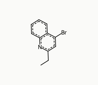 CCc1cc(Br)c2ccccc2n1